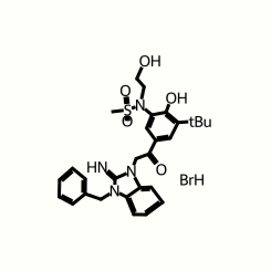 Br.CC(C)(C)c1cc(C(=O)Cn2c(=N)n(Cc3ccccc3)c3ccccc32)cc(N(CCO)S(C)(=O)=O)c1O